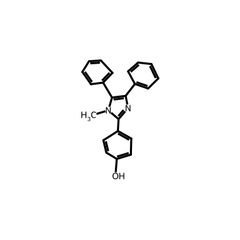 Cn1c(-c2ccc(O)cc2)nc(-c2ccccc2)c1-c1ccccc1